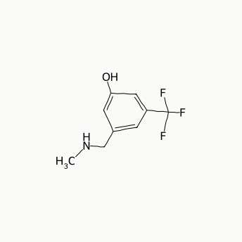 CNCc1cc(O)cc(C(F)(F)F)c1